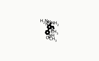 CC(=O)Nc1cccc(-c2cc3nc(N)nc(N)c3c3ccn(C)c23)c1